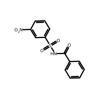 O=C(NS(=O)(=O)c1cccc([N+](=O)[O-])c1)c1ccccc1